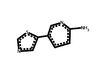 Nc1ccc(-c2cncs2)cn1